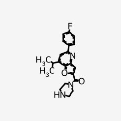 CC(C)c1cc(-c2ccc(F)cc2)nc2cc(C(=O)N3CCNCC3)oc12